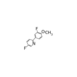 COc1ccc(-c2ccc(F)cn2)cc1F